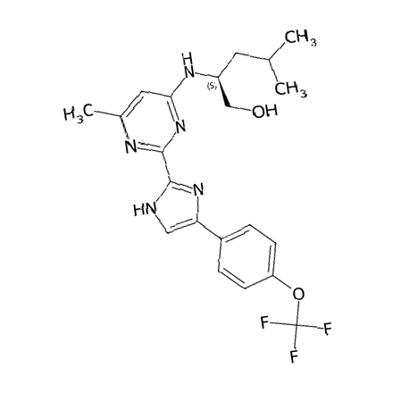 Cc1cc(N[C@H](CO)CC(C)C)nc(-c2nc(-c3ccc(OC(F)(F)F)cc3)c[nH]2)n1